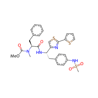 COC(=O)N(C)[C@@H](Cc1ccccc1)C(=O)N[C@@H](Cc1ccc(NS(C)(=O)=O)cc1)c1csc(-c2cccs2)n1